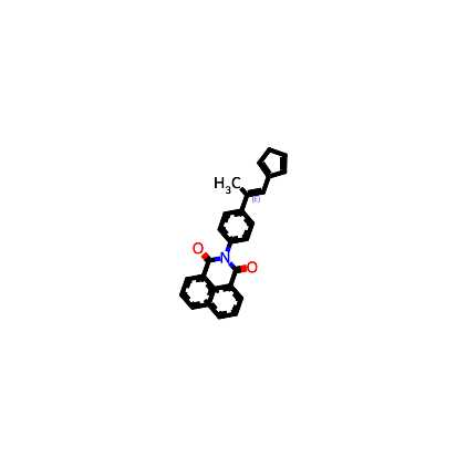 C/C(=C\C1=CCC=C1)c1ccc(N2C(=O)c3cccc4cccc(c34)C2=O)cc1